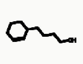 OCCCC[C@H]1C=CCCC1